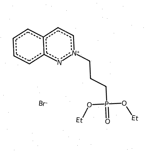 CCOP(=O)(CCC[n+]1ccc2ccccc2n1)OCC.[Br-]